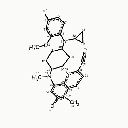 COc1cc(F)ccc1N(C1CCC(N(C)c2cc(=O)n(C)c3ccc(C#N)nc23)CC1)C1CC1